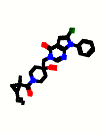 CC1(C(=O)N2CCC(O)(Cn3cnc4c(cc(Cl)n4-c4ccccc4)c3=O)CC2)CC1C(F)(F)F